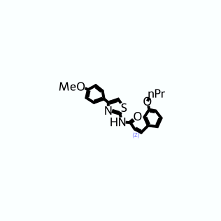 CCCOc1cccc(/C=C\C(=O)Nc2nc(-c3ccc(OC)cc3)cs2)c1